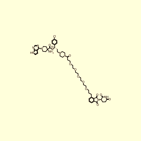 NC1(C(=O)N[C@@H](CCN2CCN(C(=O)CCOCCOCCOCCOCCOCCCc3cccc4c3C(=O)N(C3CCC(=O)NC3=O)C4=O)CC2)c2ccc(Cl)cc2)CCN(c2ncnc3[nH]ccc23)CC1